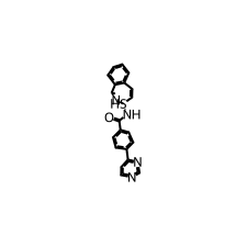 O=C(N[SH]1C=Cc2ccccc2C=N1)c1ccc(-c2ccncn2)cc1